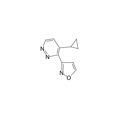 c1cc(C2CC2)c(-c2ccon2)nn1